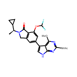 COc1nc(NC(C)=O)nc2[nH]cc(-c3cc4c(c(OC(F)F)c3)C(=O)N([C@@H](C)C3CC3)C4)c12